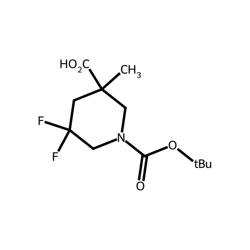 CC(C)(C)OC(=O)N1CC(F)(F)CC(C)(C(=O)O)C1